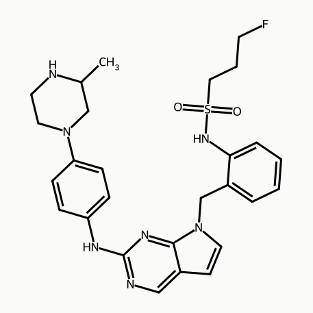 CC1CN(c2ccc(Nc3ncc4ccn(Cc5ccccc5NS(=O)(=O)CCCF)c4n3)cc2)CCN1